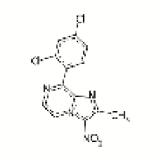 Cc1nc2c(-c3ccc(Cl)cc3Cl)nccn2c1[N+](=O)[O-]